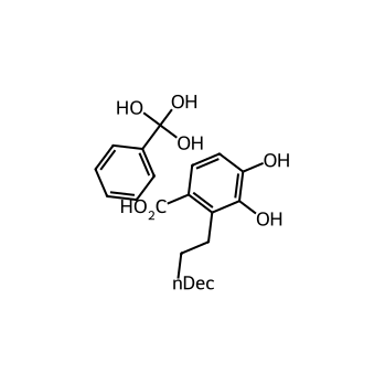 CCCCCCCCCCCCc1c(C(=O)O)ccc(O)c1O.OC(O)(O)c1ccccc1